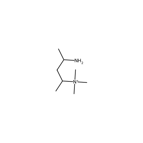 CC(N)CC(C)[N+](C)(C)C